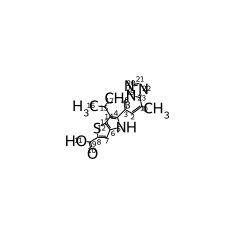 Cc1cc(-c2[nH]c3cc(C(=O)O)sc3c2C(C)C)cn2ncnc12